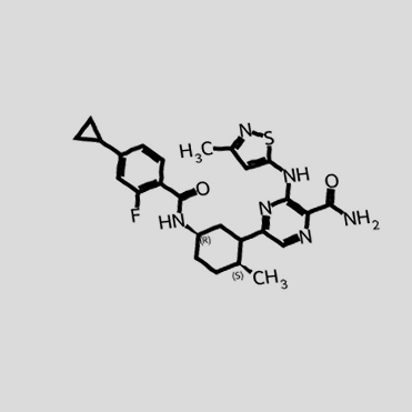 Cc1cc(Nc2nc(C3C[C@H](NC(=O)c4ccc(C5CC5)cc4F)CC[C@@H]3C)cnc2C(N)=O)sn1